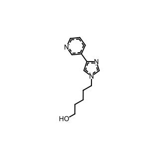 OCCCCCn1cnc(-c2cccnc2)c1